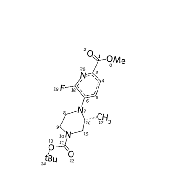 COC(=O)c1ccc(N2CCN(C(=O)OC(C)(C)C)C[C@H]2C)c(F)n1